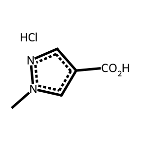 Cl.Cn1cc(C(=O)O)cn1